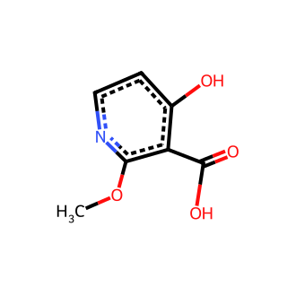 COc1nccc(O)c1C(=O)O